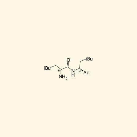 CCC(C)C[C@@H](N)C(=O)N[C@@H](CC(C)CC)C(C)=O